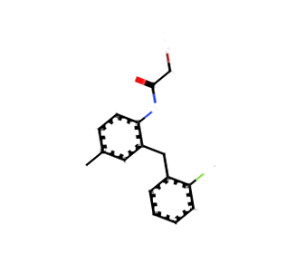 Cc1ccc(NC(=O)CBr)c(Cc2ccccc2F)c1